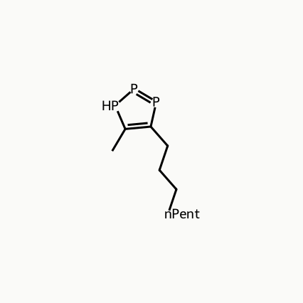 CCCCCCCCc1pp[pH]c1C